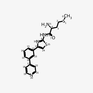 CSCC[C@H](N)C(=O)Nc1nc(-c2cccc(-c3ccncc3)c2)cs1